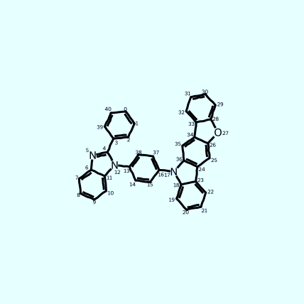 c1ccc(-c2nc3ccccc3n2-c2ccc(-n3c4ccccc4c4cc5oc6ccccc6c5cc43)cc2)cc1